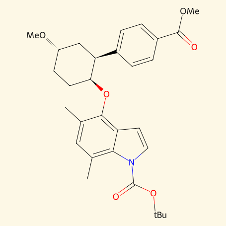 COC(=O)c1ccc([C@@H]2C[C@@H](OC)CC[C@@H]2Oc2c(C)cc(C)c3c2ccn3C(=O)OC(C)(C)C)cc1